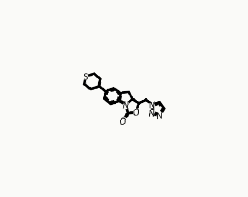 O=C1OC(Cn2ccnn2)C2Cc3cc(C4CCSCC4)ccc3N12